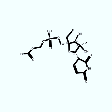 CC(C)C(=O)OCOP(=O)(O)OC[C@@]1(CF)O[C@@H](C2C=CC(=O)NC2=O)[C@](C)(O)[C@@H]1O